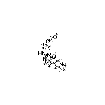 COCCO[C@H]1CC[C@@H](Nc2nc(OC)c3c(-c4ccn5nccc5c4)ccn3n2)CC1